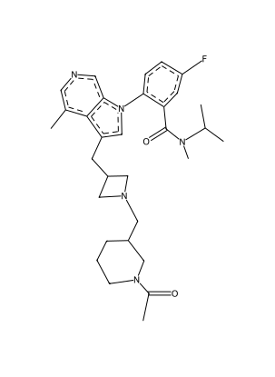 CC(=O)N1CCCC(CN2CC(Cc3cn(-c4ccc(F)cc4C(=O)N(C)C(C)C)c4cncc(C)c34)C2)C1